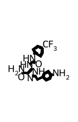 NC(=O)c1nc(Cc2ccc(N)cc2)[nH]c1NC(=O)Nc1ccc(C(F)(F)F)cc1